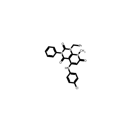 CC(C)Cn1c(=O)n(-c2ccccc2)c(=O)c2c(Nc3ccc(Cl)cc3)cc(=O)n(C)c21